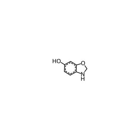 Oc1ccc2c(c1)OCN2